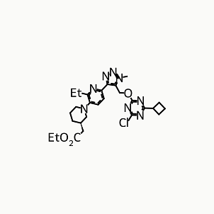 CCOC(=O)C[C@H]1CCCN(c2ccc(-c3nnn(C)c3COc3nc(Cl)nc(C4CCC4)n3)nc2CC)C1